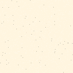 COc1ccc(COc2ccc(S(C)(=O)=O)cc2C(=O)CCC(C)=O)cc1